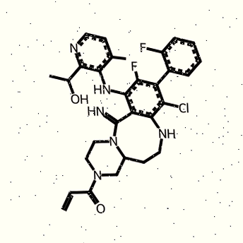 C=CC(=O)N1CCN2C(=N)c3c(Nc4c(C)ccnc4C(C)O)c(F)c(-c4ccccc4F)c(Cl)c3NCCC2C1